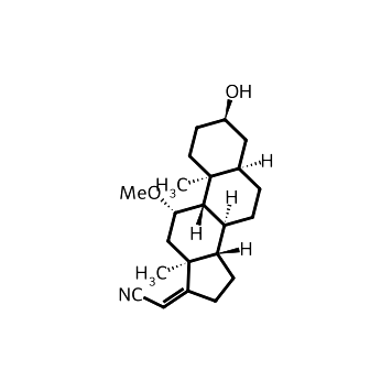 CO[C@H]1C[C@]2(C)/C(=C\C#N)CC[C@H]2[C@@H]2CC[C@@H]3C[C@H](O)CC[C@]3(C)[C@H]21